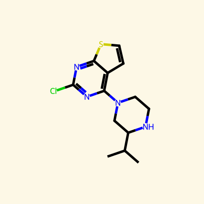 CC(C)C1CN(c2nc(Cl)nc3sccc23)CCN1